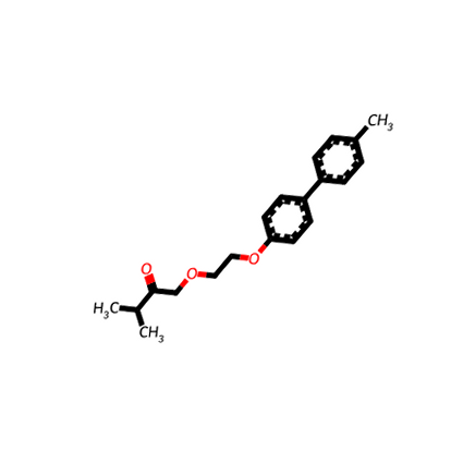 Cc1ccc(-c2ccc(OCCOCC(=O)C(C)C)cc2)cc1